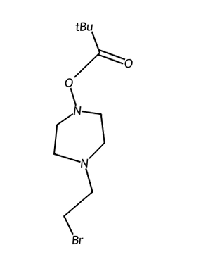 CC(C)(C)C(=O)ON1CCN(CCBr)CC1